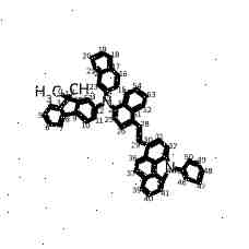 CC1(C)c2ccccc2-c2ccc(N(c3ccc4ccccc4c3)c3ccc(/C=C/c4ccc5c6c4ccc4cccc(c46)n5-c4ccccc4)c4ccccc34)cc21